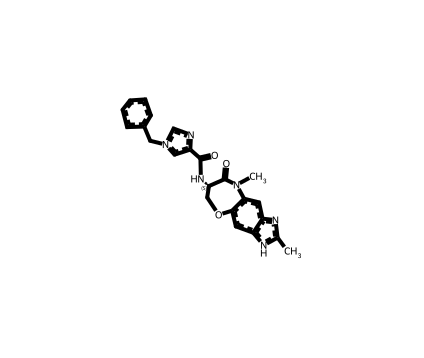 Cc1nc2cc3c(cc2[nH]1)OC[C@H](NC(=O)c1cn(Cc2ccccc2)cn1)C(=O)N3C